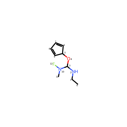 CCNC(OC1C=CC=C1)N(C)F